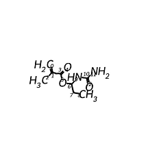 C=C(C)C(=O)OC(CC)NC(N)=O